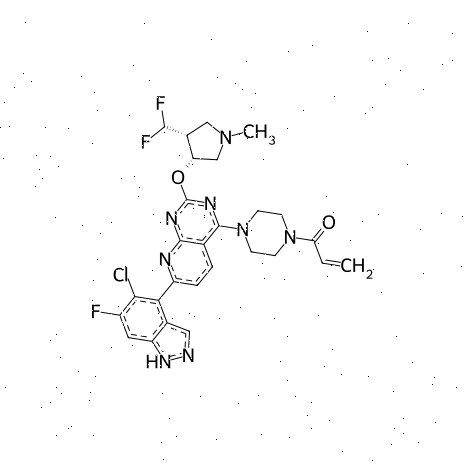 C=CC(=O)N1CCN(c2nc(O[C@H]3CN(C)C[C@H]3C(F)F)nc3nc(-c4c(Cl)c(F)cc5[nH]ncc45)ccc23)CC1